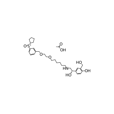 CC(=O)O.[O-][S+](c1cccc(COCCOCCCCCCNC[C@H](O)c2ccc(O)c(CO)c2)c1)C1CCCC1